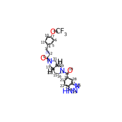 O=C(/C=C/c1ccc(OC(F)(F)F)cc1)N1C[C@H]2CCN(C(=O)c3ccc4[nH]nnc4c3)C[C@@H]2C1